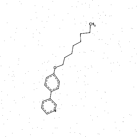 CCCCCCCCOc1ccc(-c2cccnc2)cc1